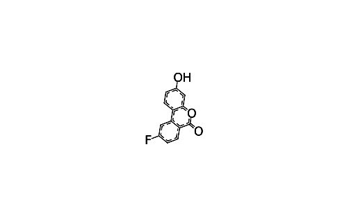 O=c1oc2cc(O)ccc2c2cc(F)ccc12